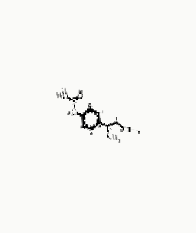 CCC(C)c1ccc(OS(=O)O)cc1